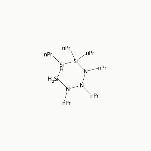 CCCN1[SiH2][SiH](CCC)[Si](CCC)(CCC)N(CCC)N1CCC